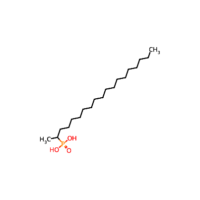 CCCCCCCCCCCCCCCCCC(C)P(=O)(O)O